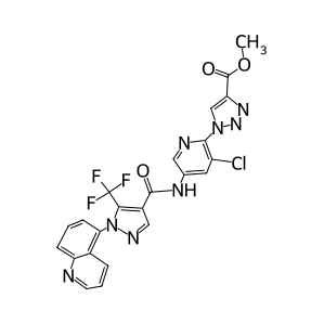 COC(=O)c1cn(-c2ncc(NC(=O)c3cnn(-c4cccc5ncccc45)c3C(F)(F)F)cc2Cl)nn1